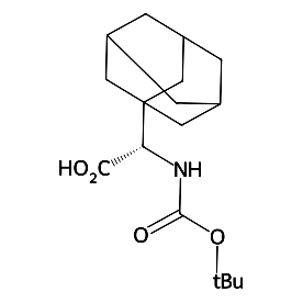 CC(C)(C)OC(=O)N[C@H](C(=O)O)C12CC3CC(CC(C3)C1)C2